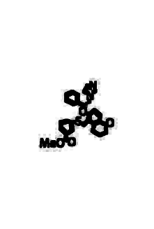 COC(=O)c1cccc(SCc2c(O[C@H](Cn3ccnc3)c3ccccc3)ccc3c2CCCC3=O)c1